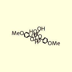 COc1ccc(C2OC[C@@H]3OC(c4ccc(OC)cc4)O[C@H]([C@H](O)CO)[C@@H]3O2)cc1